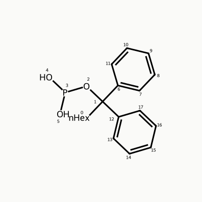 CCCCCCC(OP(O)O)(c1ccccc1)c1ccccc1